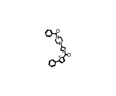 O=C(c1ccccc1)N1CCN(C2CN(C(=O)c3ccc(-c4ccccc4)s3)C2)CC1